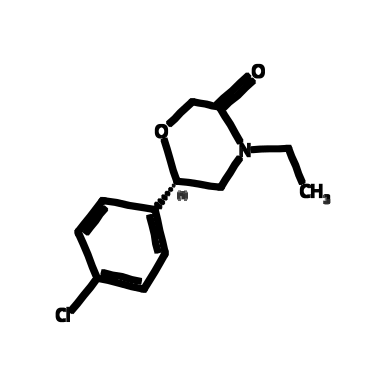 CCN1C[C@H](c2ccc(Cl)cc2)OCC1=O